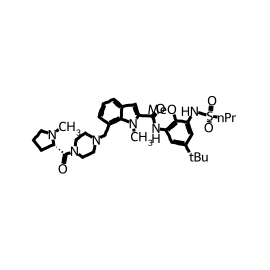 CCCS(=O)(=O)Nc1cc(C(C)(C)C)cc(NC(=O)c2cc3cccc(CN4CCN(C(=O)[C@@H]5CCCN5C)CC4)c3n2C)c1OC